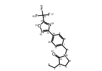 CCC1CCN(Cc2ccc(-c3noc(C(F)(F)F)n3)cc2)C1=O